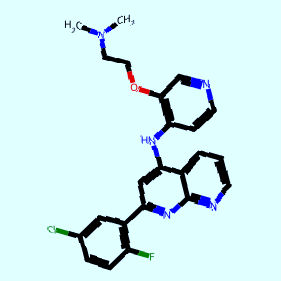 CN(C)CCOc1cnccc1Nc1cc(-c2cc(Cl)ccc2F)nc2ncccc12